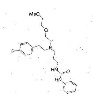 COCCOCCN(CCCNC(=O)Nc1ccccc1)CCc1ccc(F)cc1